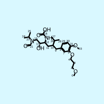 COCCCOc1cc(CC(CC(NC(=O)O)[C@@H](O)CN(C=O)C(C)C)C(C)C)ccc1OC